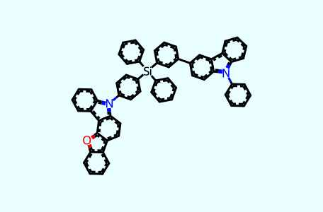 c1ccc(-n2c3ccccc3c3cc(-c4cccc([Si](c5ccccc5)(c5ccccc5)c5ccc(-n6c7ccccc7c7c8oc9ccccc9c8ccc76)cc5)c4)ccc32)cc1